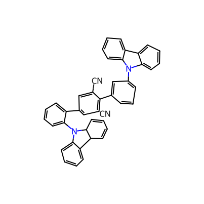 N#Cc1cc(-c2ccccc2N2c3ccccc3C3C=CC=CC32)cc(C#N)c1-c1cccc(-n2c3ccccc3c3ccccc32)c1